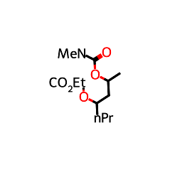 CCCC(CC(C)OC(=O)NC)OC(=O)OCC